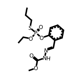 CCCSP(=O)(OCC)Oc1ccccc1C=NNC(=O)OC